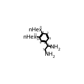 CCCCCCc1ccc(C(N)CN)cc1CCCCCC